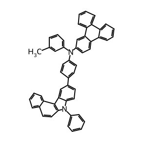 Cc1cccc(N(c2ccc(-c3ccc4c(c3)c3c5ccccc5ccc3n4-c3ccccc3)cc2)c2ccc3c4ccccc4c4ccccc4c3c2)c1